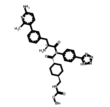 Cc1nc(N)ccc1-c1cccc(C[C@H](N)C(=O)N(c2ccc(-c3nnn[nH]3)cc2)C(=O)[C@H]2CC[C@H](CNC(=O)OC(C)(C)C)CC2)c1